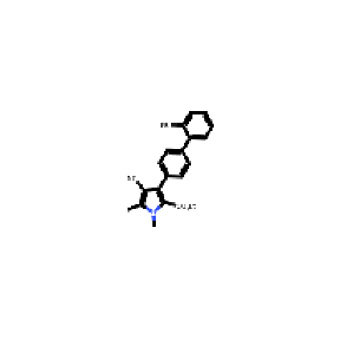 CCOC(=O)c1c(-c2ccc(-c3ccccc3C#N)cc2)c(C#N)c(C)n1C